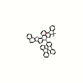 CC1(C)c2ccccc2-c2ccc(N(c3ccc4c(c3)C3(c5ccccc5-c5ccccc53)c3ccccc3-4)c3ccc4c(oc5c6ccccc6ccc45)c3-c3ccccc3)cc21